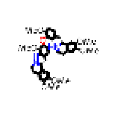 COc1cc2c(cc1OC)[C@@H](Cc1ccc(Oc3cc(C[C@H]4NCCc5cc(OC)c(OC)cc54)ccc3OC)c(OC)c1)NCC2